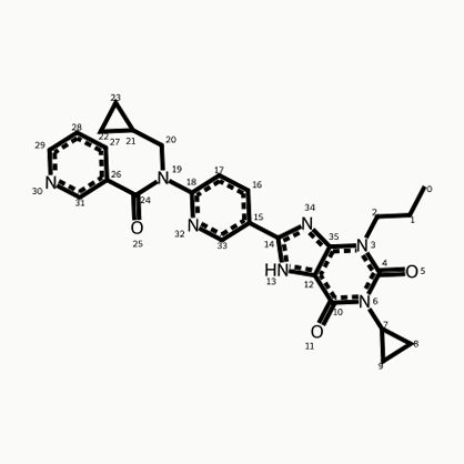 CCCn1c(=O)n(C2CC2)c(=O)c2[nH]c(-c3ccc(N(CC4CC4)C(=O)c4cccnc4)nc3)nc21